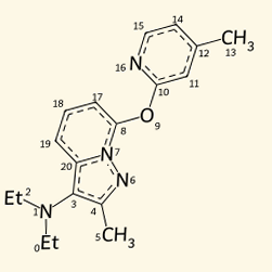 CCN(CC)c1c(C)nn2c(Oc3cc(C)ccn3)cccc12